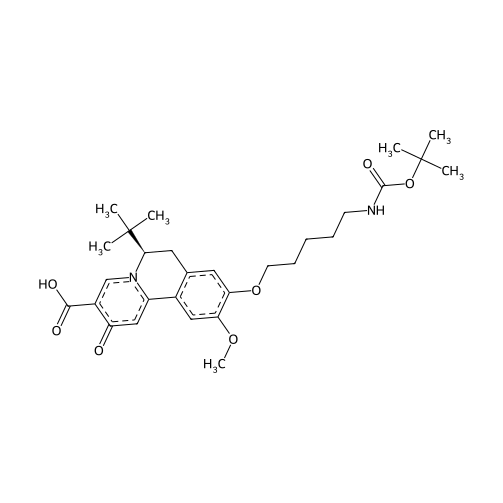 COc1cc2c(cc1OCCCCCNC(=O)OC(C)(C)C)C[C@H](C(C)(C)C)n1cc(C(=O)O)c(=O)cc1-2